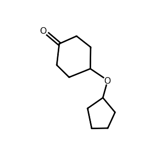 O=C1CCC(OC2CCCC2)CC1